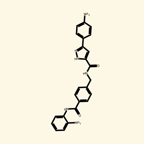 Nc1ccc(-c2cc(C(=O)NCc3ccc(C(=O)Nc4ccccc4N)cc3)[nH]n2)cc1